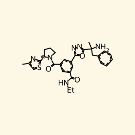 CCNC(=O)c1cc(C(=O)N2CCC[C@@H]2c2nc(C)cs2)cc(-c2nnc(C(C)(N)Cc3ccccc3)o2)c1